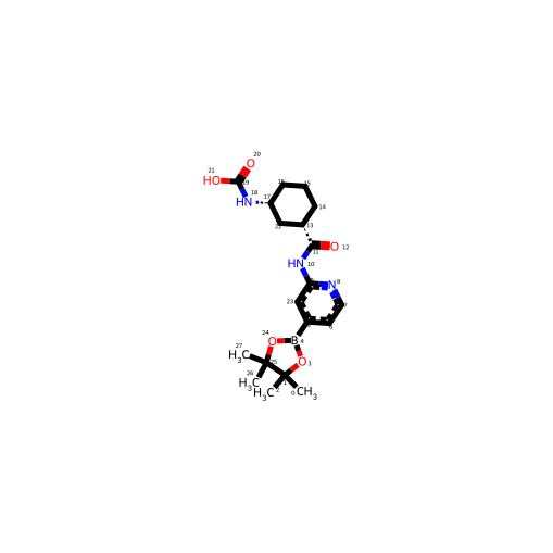 CC1(C)OB(c2ccnc(NC(=O)[C@H]3CCC[C@@H](NC(=O)O)C3)c2)OC1(C)C